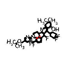 CC(C)OCc1cnc(N2CCC(c3nc4c(c(C5CCC(F)(F)CC5)c3C(F)c3ccc(C(F)(F)F)cc3)[C@@H](O)CC(C)(C)C4)CC2)nc1